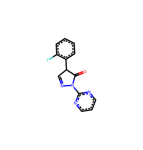 O=C1C(c2ccccc2F)C=NN1c1ncccn1